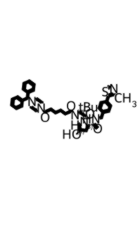 Cc1ncsc1-c1ccc(CNC(=O)[C@@H]2C[C@@H](O)CN2C(=O)[C@@H](NC(=O)CCCCC(=O)N2CCN(C(c3ccccc3)c3ccccc3)CC2)C(C)(C)C)cc1